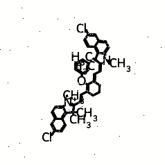 CN1/C(=C/C=C2\CCCC(/C=C/C3=[N+](C)c4ccc5cc(Cl)ccc5c4C3(C)C)=C2Oc2ccccc2)C(C)(C)c2c1ccc1cc(Cl)ccc21